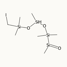 C[Si](=O)[Si](C)(C)O[SiH](C)O[Si](C)(C)CI